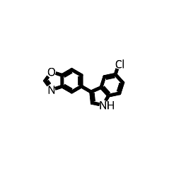 Clc1ccc2[nH]cc(-c3ccc4ocnc4c3)c2c1